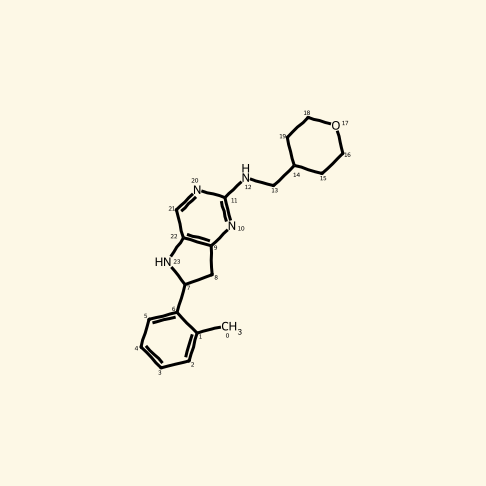 Cc1ccccc1C1Cc2nc(NCC3CCOCC3)ncc2N1